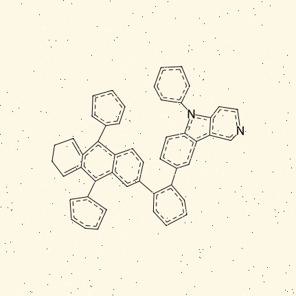 C1=c2c(-c3ccccc3)c3ccc(-c4ccccc4-c4ccc5c(c4)c4cnccc4n5-c4ccccc4)cc3c(-c3ccccc3)c2=CCC1